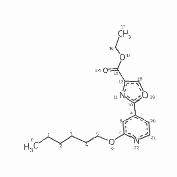 CCCCCCOc1cc(-c2nc(C(=O)OCC)co2)ccn1